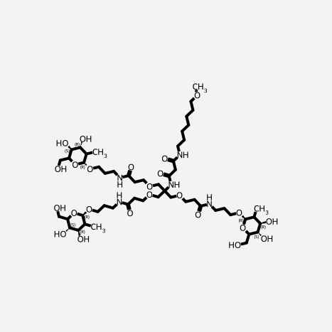 COCCCCCCCNC(=O)CC(=O)NC(COCCC(=O)NCCCO[C@@H]1OC(CO)[C@@H](O)[C@H](O)C1C)(COCCC(=O)NCCCO[C@@H]1OC(CO)[C@@H](O)[C@H](O)C1C)COCCC(=O)NCCCO[C@@H]1OC(CO)[C@@H](O)[C@H](O)C1C